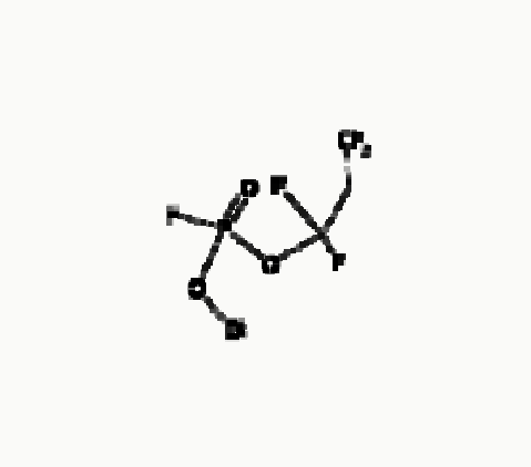 CCOP(=O)(F)OC(F)(F)CC(F)(F)F